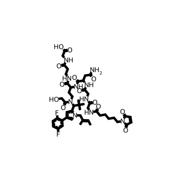 C/C=C(\C)Cn1cc(-c2cc(F)ccc2F)cc1C(N(CCC(NC(=O)C(CC(N)=O)NC(=O)CNC(=O)CNC(=O)CCCCCN1C(=O)C=CC1=O)C(=O)NCCC(=O)NCC(=O)O)C(=O)CO)C(C)(C)C